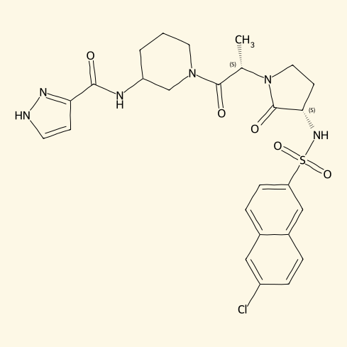 C[C@@H](C(=O)N1CCCC(NC(=O)c2cc[nH]n2)C1)N1CC[C@H](NS(=O)(=O)c2ccc3cc(Cl)ccc3c2)C1=O